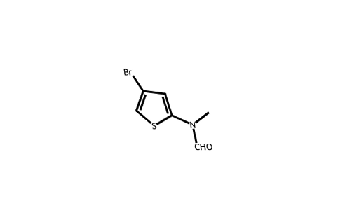 CN(C=O)c1cc(Br)cs1